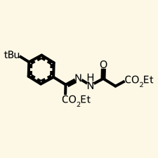 CCOC(=O)CC(=O)NN=C(C(=O)OCC)c1ccc(C(C)(C)C)cc1